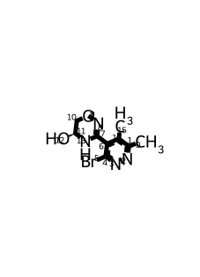 Cc1nnc(Br)c(C2=NOC[C@@H](O)N2)c1C